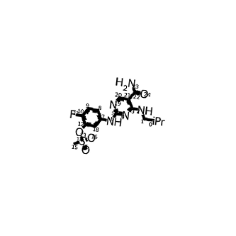 CC(C)CNc1nc(Nc2ccc(F)c(OS(C)(=O)=O)c2)ncc1C(N)=O